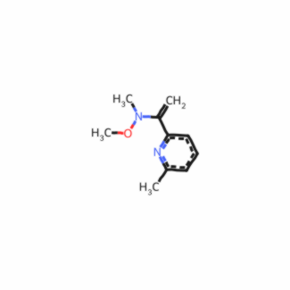 C=C(c1cccc(C)n1)N(C)OC